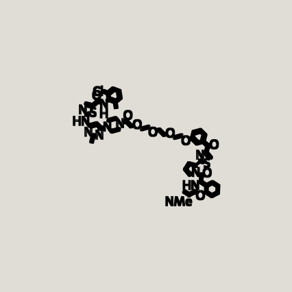 CN[C@@H](C)C(=O)N[C@H](C(=O)N1CCC[C@H]1c1nc(C(=O)c2cccc(OCCOCCOCCOCC(=O)N3CCN(c4cc(Nc5ncc(C(=O)Nc6c(C)cccc6Cl)s5)nc(C)n4)CC3)c2)cs1)C1CCCCC1